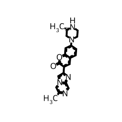 Cc1cn2cc(-c3cc4ccc(N5CCN[C@H](C)C5)cc4oc3=O)nc2cn1